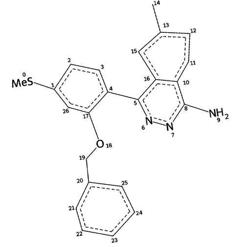 CSc1ccc(-c2nnc(N)c3ccc(C)cc23)c(OCc2ccccc2)c1